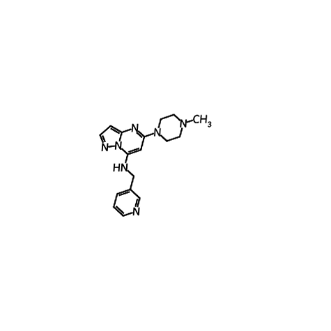 CN1CCN(c2cc(NCc3cccnc3)n3nccc3n2)CC1